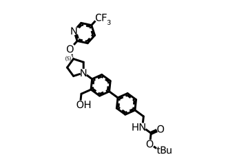 CC(C)(C)OC(=O)NCc1ccc(-c2ccc(N3CC[C@H](Oc4ccc(C(F)(F)F)cn4)C3)c(CO)c2)cc1